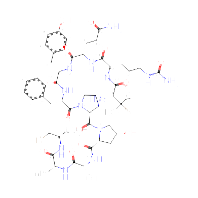 CCC[C@H](NC(=O)[C@@H](NC(=O)[C@@H]1C[C@@H](O)CN1C(=O)[C@@H]1CCCN1C(=O)[C@H](Cc1ccccc1)NC(=O)[C@H](Cc1ccc(O)cc1)NC(=O)[C@H](CCC(N)=O)NC(=O)[C@H](CCCNC(N)=O)NC(=O)[C@@H](N)C(C)(C)S)[C@@H](C)CC)C(=O)N[C@@H](CS)C(=O)O